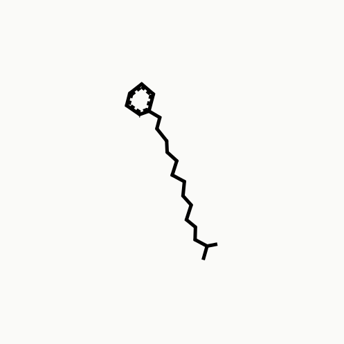 CC(C)CCCCCCCCCCCCc1[c]cccc1